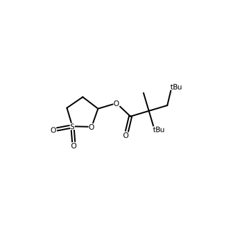 CC(C)(C)CC(C)(C(=O)OC1CCS(=O)(=O)O1)C(C)(C)C